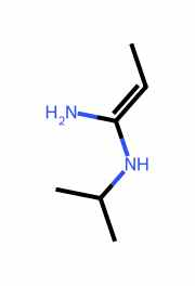 C/C=C(\N)NC(C)C